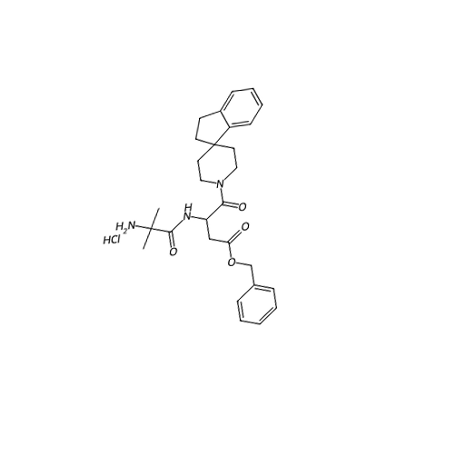 CC(C)(N)C(=O)NC(CC(=O)OCc1ccccc1)C(=O)N1CCC2(CCc3ccccc32)CC1.Cl